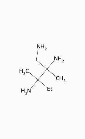 CCC(C)(N)C(C)(N)CN